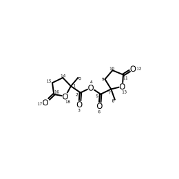 CC1(C(=O)OC(=O)C2(C)CCC(=O)O2)CCC(=O)O1